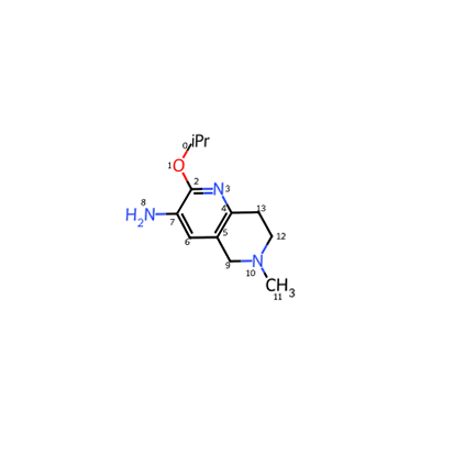 CC(C)Oc1nc2c(cc1N)CN(C)CC2